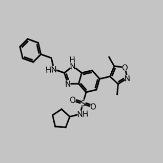 Cc1noc(C)c1-c1cc(S(=O)(=O)NC2CCCC2)c2nc(NCc3ccccc3)[nH]c2c1